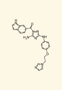 Nc1nc(Nc2ccc(OCCn3ccnc3)cc2)nn1C(=O)c1ccc2cc[nH]c2c1